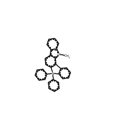 Cn1c2ccccc2c2ccc3c(c21)-c1ccccc1[Si]3(c1ccccc1)c1ccccc1